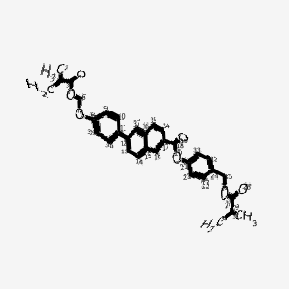 C=C(C)C(=O)OCOc1ccc(-c2ccc3cc(C(=O)Oc4ccc(COC(=O)C(=C)C)cc4)ccc3c2)cc1